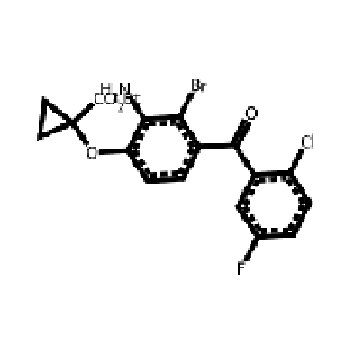 CCOC(=O)C1(Oc2ccc(C(=O)c3cc(F)ccc3Cl)c(Br)c2N)CC1